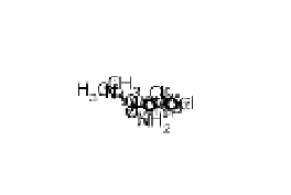 CN(C)CCCOC(=O)c1ccc(-c2ccc(Cl)cc2Cl)cc1N